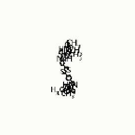 COC(=O)NC(C(=O)N1CCCC1c1nc2ccc(-c3csc4c(-c5ccc(-c6cnc(C7CCCN7C(=O)OC(C)(C)C)[nH]6)cc5)csc34)cc2[nH]1)C(C)C